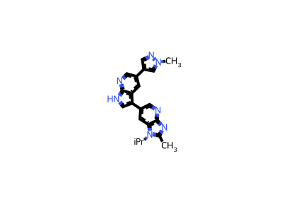 Cc1nc2ncc(-c3c[nH]c4ncc(-c5cnn(C)c5)cc34)cc2n1C(C)C